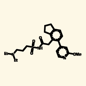 CCN(CC)CCCS(=O)(=O)NC(=O)Cc1c(-c2ccnc(OC)c2)ccc2c1CCC2